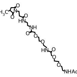 CC(=O)NCCOCCOCC(=O)NCCOCCOCC(=O)NCCNC(=O)CCN1C(=O)CC(C)C1=O